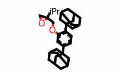 CC(C)C1(COc2cc(C34CC5CC(CC(C5)C3)C4)ccc2C23CC4CC(CC(C4)C2)C3)CO1